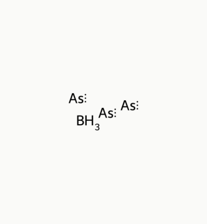 B.[As].[As].[As]